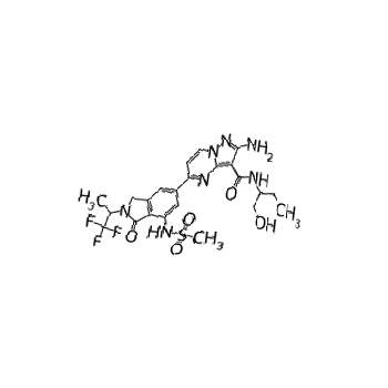 CCC(CO)NC(=O)c1c(N)nn2ccc(-c3cc4c(c(NS(C)(=O)=O)c3)C(=O)N(C(C)C(F)(F)F)C4)nc12